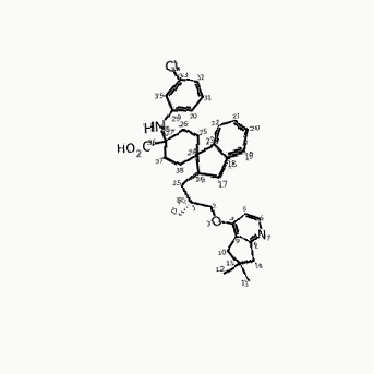 C[C@@H](COc1ccnc2c1CC(C)(C)C2)CC1Cc2ccccc2C12CCC(Nc1cccc(Cl)c1)(C(=O)O)CC2